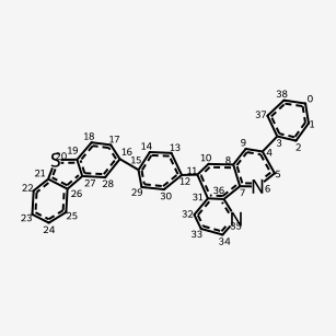 c1ccc(-c2cnc3c(c2)cc(-c2ccc(-c4ccc5sc6ccccc6c5c4)cc2)c2cccnc23)cc1